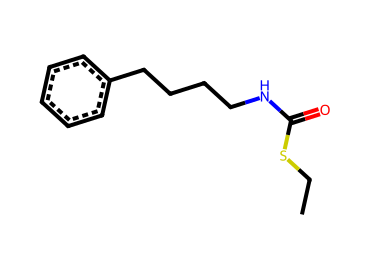 CCSC(=O)NCCCCc1ccccc1